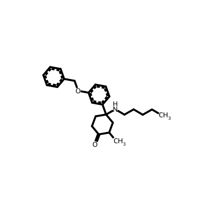 CCCCCNC1(c2cccc(OCc3ccccc3)c2)CCC(=O)C(C)C1